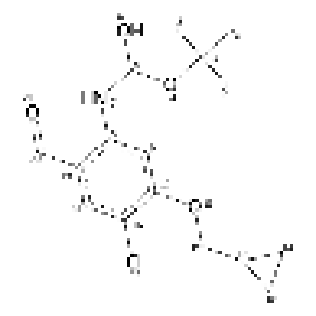 CC(C)(C)OC(O)Nc1cc(OCC2CC2)c(Cl)cc1C=O